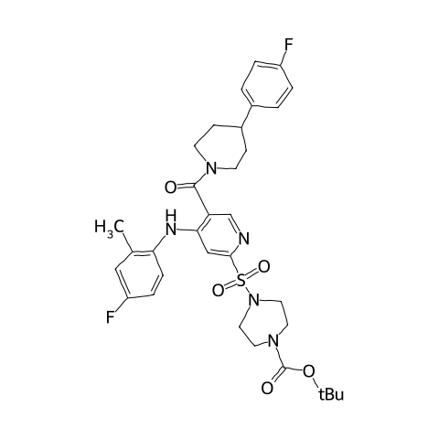 Cc1cc(F)ccc1Nc1cc(S(=O)(=O)N2CCN(C(=O)OC(C)(C)C)CC2)ncc1C(=O)N1CCC(c2ccc(F)cc2)CC1